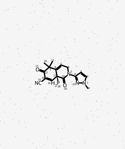 Cn1ccc(N2CC=C3C(C)(C)C(=O)C(C#N)=C[C@@]3(P)C2=O)n1